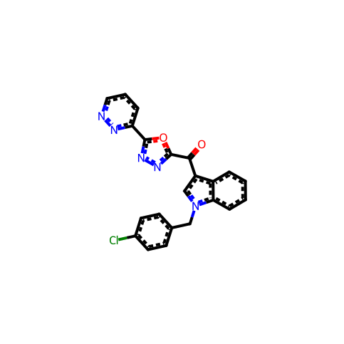 O=C(c1nnc(-c2cccnn2)o1)c1cn(Cc2ccc(Cl)cc2)c2ccccc12